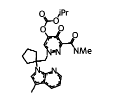 CNC(=O)c1nn(CC2(n3cc(C)c4cccnc43)CCCC2)cc(OC(=O)OC(C)C)c1=O